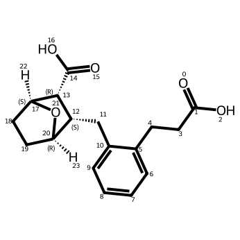 O=C(O)CCc1ccccc1C[C@H]1[C@@H](C(=O)O)[C@@H]2CC[C@H]1O2